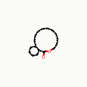 O=c1occccccccccc2ccccc12